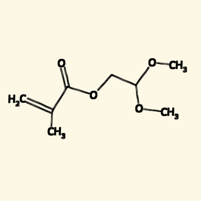 C=C(C)C(=O)OCC(OC)OC